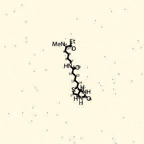 CCC(=O)[C@H](CCCCNC(=O)CCCCC1SC[C@H]2NC(=O)N[C@@H]12)NC